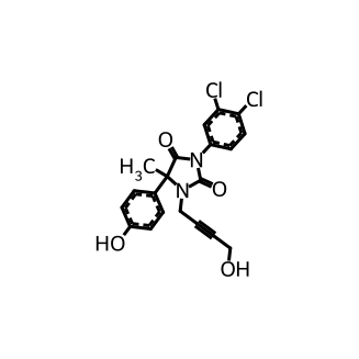 CC1(c2ccc(O)cc2)C(=O)N(c2ccc(Cl)c(Cl)c2)C(=O)N1CC#CCO